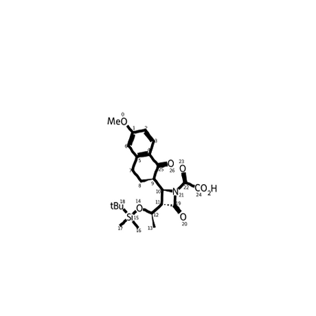 COc1ccc2c(c1)CC[C@H]([C@@H]1[C@@H]([C@@H](C)O[Si](C)(C)C(C)(C)C)C(=O)N1C(=O)C(=O)O)C2=O